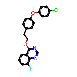 Fc1cccc2c(OCCc3ccc(Oc4ccc(Cl)cc4)cc3)ncnc12